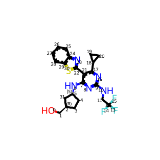 OC[C@@H]1CC[C@H](Nc2nc(NCC(F)(F)F)nc(C3CC3)c2-c2nc3ccccc3s2)C1